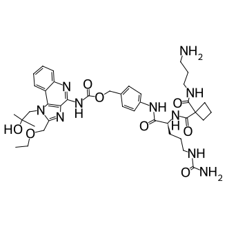 CCOCc1nc2c(NC(=O)OCc3ccc(NC(=O)[C@H](CCCNC(N)=O)NC(=O)C4(C(=O)NCCCN)CCC4)cc3)nc3ccccc3c2n1CC(C)(C)O